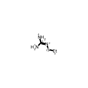 CCSN=C(N)N